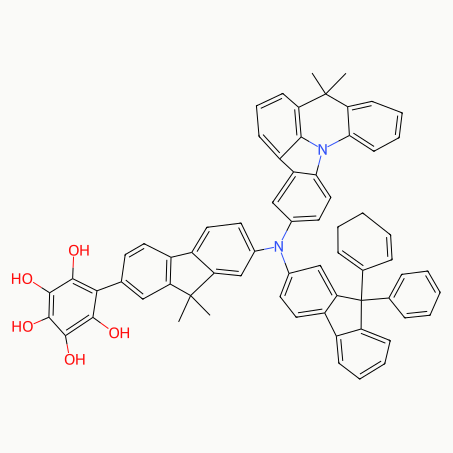 CC1(C)c2cc(-c3c(O)c(O)c(O)c(O)c3O)ccc2-c2ccc(N(c3ccc4c(c3)C(C3=CCCC=C3)(c3ccccc3)c3ccccc3-4)c3ccc4c(c3)c3cccc5c3n4-c3ccccc3C5(C)C)cc21